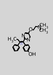 CC/C(=C(/c1ccc(O)cc1)c1ncc(OCCN(C)C)cn1)c1ccccc1